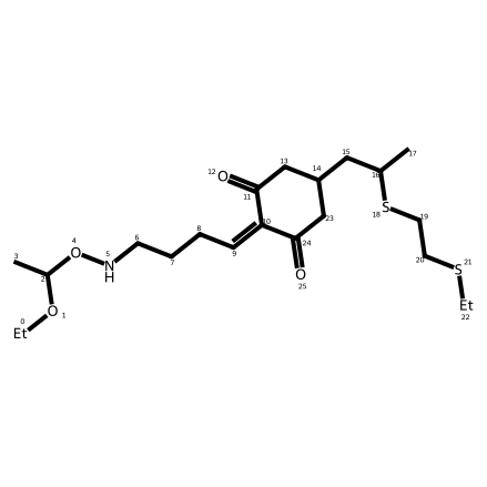 CCOC(C)ONCCCC=C1C(=O)CC(CC(C)SCCSCC)CC1=O